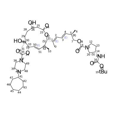 C/C(=C\C=C\[C@@H](C)COC(=O)N1CC[C@H](NC(=O)OC(C)(C)C)C1)[C@H]1OC(=O)C[C@@H](O)CC[C@](C)(O)[C@@H](OC(=O)N2CCN(C3CCCCCC3)CC2)/C=C/[C@@H]1C